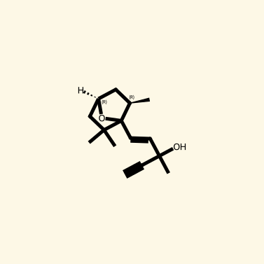 C#CC(C)(O)C=CC12O[C@H](C[C@H]1C)CC2(C)C